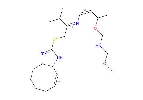 COCNCOC(C)/C=C\N=C(\CSC1=NC2CCCC/C=C\C2N1)C(C)C